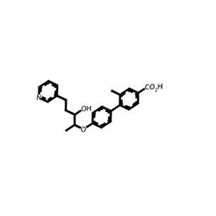 Cc1cc(C(=O)O)ccc1-c1ccc(OC(C)C(O)CCc2cccnc2)cc1